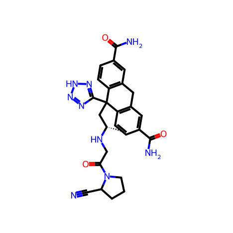 C[C@@H](CC1(c2nn[nH]n2)c2ccc(C(N)=O)cc2Cc2cc(C(N)=O)ccc21)NCC(=O)N1CCCC1C#N